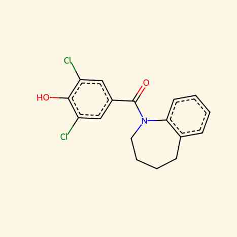 O=C(c1cc(Cl)c(O)c(Cl)c1)N1CCCCc2ccccc21